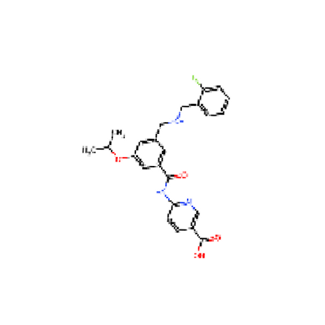 CC(C)Oc1cc(CNCc2ccccc2F)cc(C(=O)Nc2ccc(C(=O)O)cn2)c1